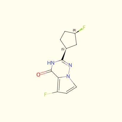 O=c1[nH]c([C@H]2CC[C@@H](F)C2)nn2ccc(F)c12